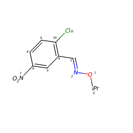 CC(C)ON=Cc1cc([N+](=O)[O-])ccc1Cl